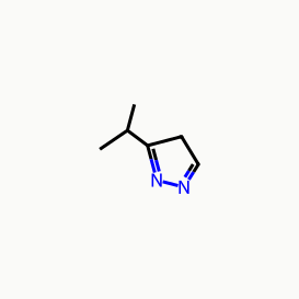 CC(C)C1=NN=CC1